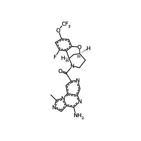 Cc1ncc2c(N)nc3cnc(C(=O)N4CC[C@H]5C[C@@H]4c4c(F)cc(OC(F)(F)F)cc4O5)cc3n12